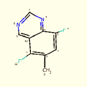 Cc1cc(F)c2ncncc2c1F